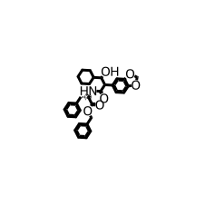 O=C(N[C@@H](Cc1ccccc1)C(=O)OCc1ccccc1)C(c1ccc2c(c1)OCO2)C(O)C1CCCCC1